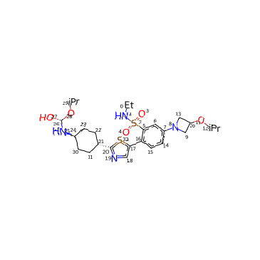 CCNS(=O)(=O)c1cc(N2CC(OC(C)C)C2)ccc1-c1cnc([C@H]2CC[C@H](NC(O)OC(C)C)CC2)s1